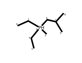 CC[PH](C)(CC)CC(C)C